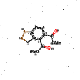 COC(=O)c1ccc2c(c1C(=O)OC)CSS2